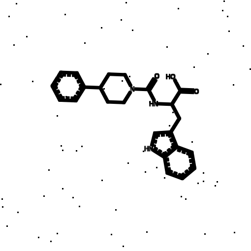 O=C(O)C(Cc1c[nH]c2ccccc12)NC(=O)N1CCC(c2ccccc2)CC1